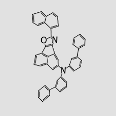 c1ccc(-c2cccc(N(c3cccc(-c4ccccc4)c3)c3cc4c5c(cccc5c3)-c3oc(-c5cccc6ccccc56)nc3-4)c2)cc1